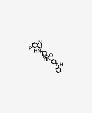 O=C(Nc1ccc(Nc2ccccc2)cc1)c1ccc(Nc2ccnc3ccc(F)cc23)cn1